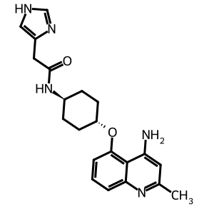 Cc1cc(N)c2c(O[C@H]3CC[C@H](NC(=O)Cc4c[nH]cn4)CC3)cccc2n1